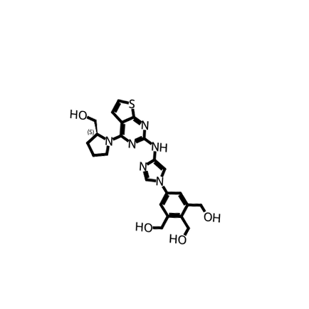 OCc1cc(-n2cnc(Nc3nc(N4CCC[C@H]4CO)c4ccsc4n3)c2)cc(CO)c1CO